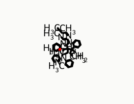 C=CC1(CC)c2ccccc2N2c3ncc(C(C)(C)C)nc3N(c3ccccc3)C2C1(CC)CC1N(c2ccccc2C)c2ncccc2N1C(C)C